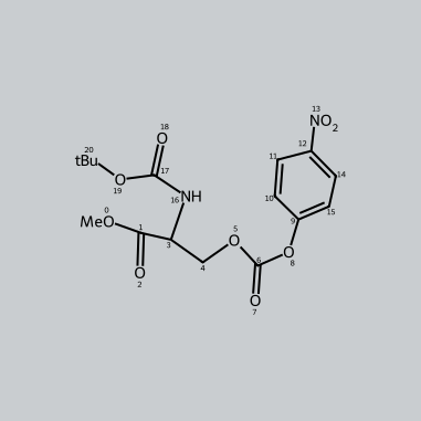 COC(=O)C(COC(=O)Oc1ccc([N+](=O)[O-])cc1)NC(=O)OC(C)(C)C